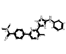 Cc1ncc(-c2ccc(C(=O)N(C)C)cc2)nc1-c1nnc(NC2C=CC=CC2)o1